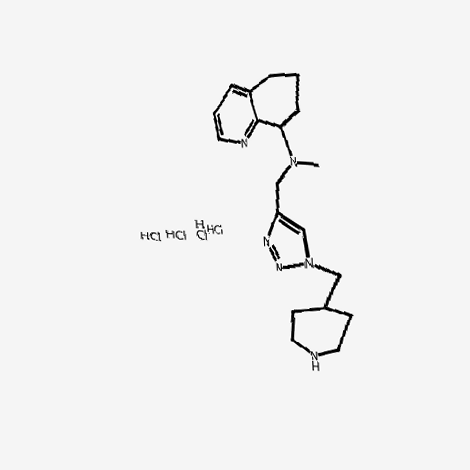 CN(Cc1cn(CC2CCNCC2)nn1)C1CCCc2cccnc21.Cl.Cl.Cl.Cl